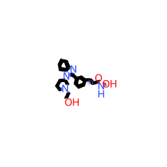 O=C(/C=C/c1cccc(-c2nc3ccccc3n2C2CCCN(CCO)C2)c1)NO